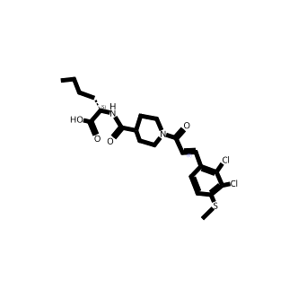 CCCC[C@H](NC(=O)C1CCN(C(=O)/C=C/c2ccc(SC)c(Cl)c2Cl)CC1)C(=O)O